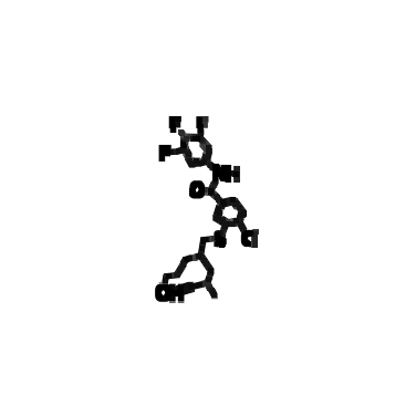 C#CC(C)CC(CCCO)CSc1cc(C(=O)Nc2cc(F)c(F)c(F)c2)ccc1Cl